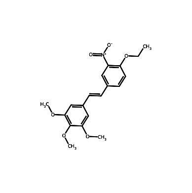 CCOc1ccc(C=Cc2cc(OC)c(OC)c(OC)c2)cc1[N+](=O)[O-]